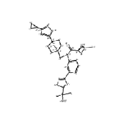 CC(C)(O)c1nc(-c2cccc(N(CC34CCC(c5nc(C6CC6)no5)(CC3)CC4)C(=O)C34CC(F)(C3)C4)c2)cs1